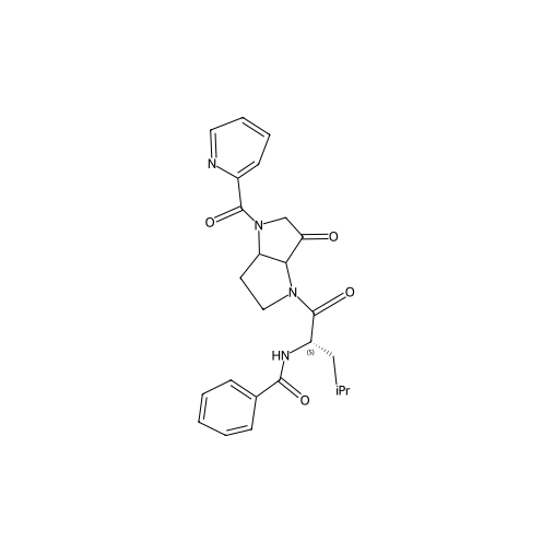 CC(C)C[C@H](NC(=O)c1ccccc1)C(=O)N1CCC2C1C(=O)CN2C(=O)c1ccccn1